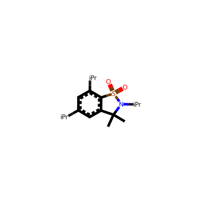 CC(C)c1cc(C(C)C)c2c(c1)C(C)(C)N(C(C)C)S2(=O)=O